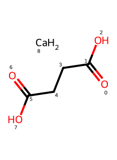 O=C(O)CCC(=O)O.[CaH2]